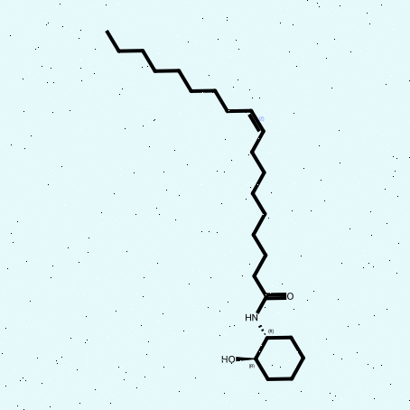 CCCCCCCC/C=C\CCCCCCCC(=O)N[C@@H]1CCCC[C@H]1O